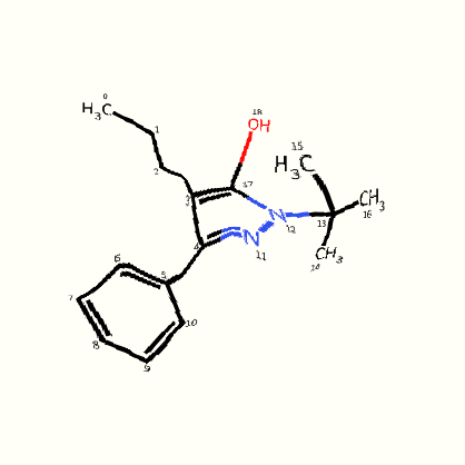 CCCc1c(-c2ccccc2)nn(C(C)(C)C)c1O